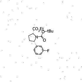 CCOC(=O)[C@H]1CC[C@@H](c2cccc(F)c2)N1C(=O)OC(C)(C)C